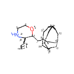 CCC1NCCOC1CC12CC3CC(CC(C3)C1)C2